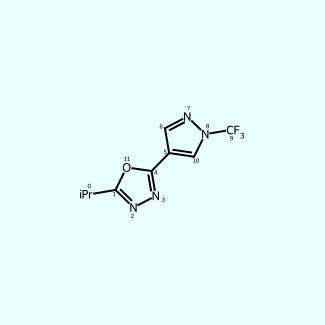 CC(C)c1nnc(-c2cnn(C(F)(F)F)c2)o1